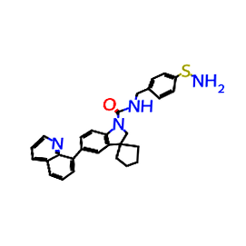 NSc1ccc(CNC(=O)N2CC3(CCCC3)c3cc(-c4cccc5cccnc45)ccc32)cc1